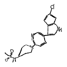 CS(=O)(=O)NC1CCN(c2ccc(-c3c[nH]c4cc(Cl)ccc34)cn2)CC1